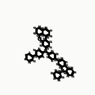 c1ccc(-c2ccc(N(c3ccc(-c4ccc5c6ccccc6n(-c6ccccc6)c5c4)cc3)c3ccc4c(c3)Oc3cccc5cccc-4c35)cc2)cc1